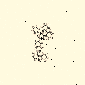 C1=CCC(c2nc(-c3ccc4cc(-c5cccc6oc7ccccc7c56)ccc4c3)nc(-c3cccc4sc5ccccc5c34)n2)C=C1